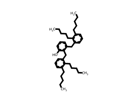 CCCCCc1cccc(Cc2cccc(O)c2Cc2cccc(CCCCC)c2CCCCC)c1CCCCC